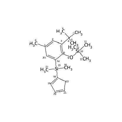 Cc1cc(C(C)(C)C)c(O[Si](C)(C)C)c([Si](C)(C)C2=CC=CC2)c1